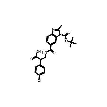 Cc1nc2ccc(C(=O)NCC(C(=O)O)c3ccc(Cl)cc3)cc2n1C(=O)OC(C)(C)C